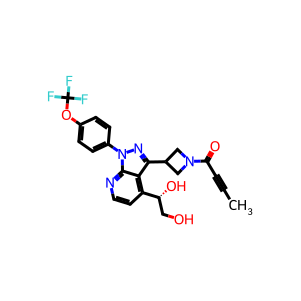 CC#CC(=O)N1CC(c2nn(-c3ccc(OC(F)(F)F)cc3)c3nccc([C@H](O)CO)c23)C1